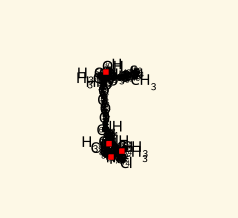 COc1cc(C(=O)NCCOCCOCCOCCOCC(=O)N[C@H](C(=O)N2C[C@H](O)C[C@H]2C(=O)NCc2ccc(-c3scnc3C)cc2)C(C)(C)C)ccc1NC(=O)C1NC(CC(C)(C)C)C(C#N)(c2ccc(Cl)cc2F)C1c1cccc(Cl)c1F